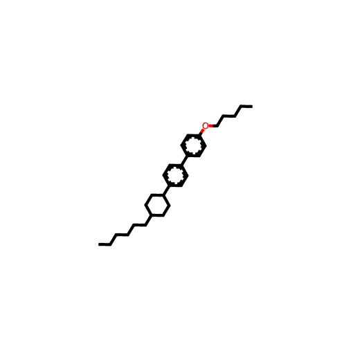 CCCCCCC1CCC(c2ccc(-c3ccc(OCCCCC)cc3)cc2)CC1